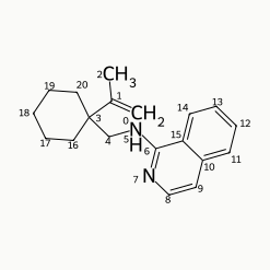 C=C(C)C1(CNc2nccc3ccccc23)CCCCC1